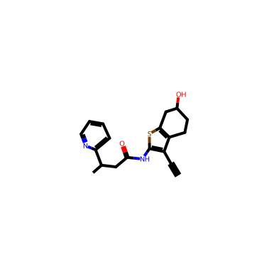 C#Cc1c(NC(=O)CC(C)c2ccccn2)sc2c1CCC(O)C2